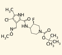 CO/N=C/c1c(C(=O)NC2CCN(C(=O)OC(C)(C)C)C[C@@H]2F)[nH]c(C)c1Cl